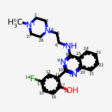 CN1CCN(CCNc2nc(-c3cc(F)ccc3O)nc3ccccc23)CC1